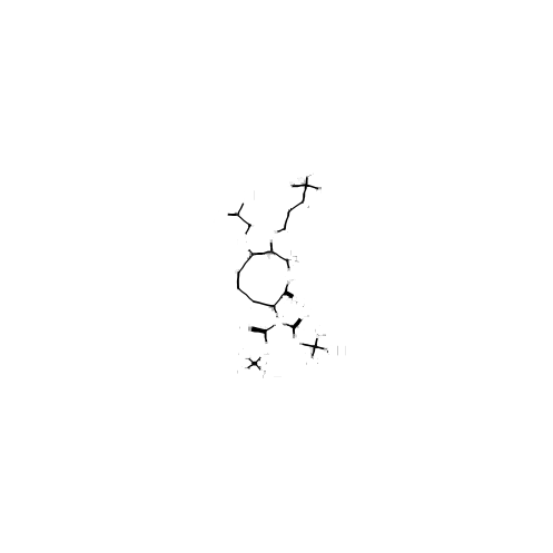 CC(C)COC1CCCC(N(C(=O)OC(C)(C)C)C(=O)OC(C)(C)C)C(=O)OC(C)C1OCCCC(F)(F)F